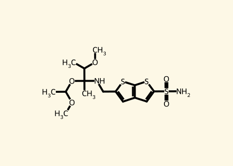 COC(C)OC(C)(NCc1cc2cc(S(N)(=O)=O)sc2s1)C(C)OC